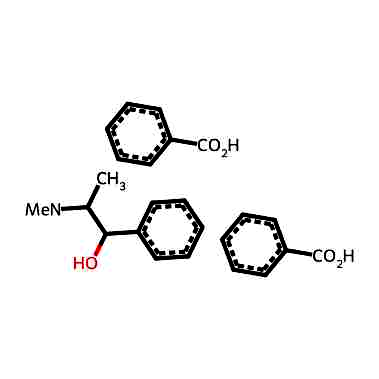 CNC(C)C(O)c1ccccc1.O=C(O)c1ccccc1.O=C(O)c1ccccc1